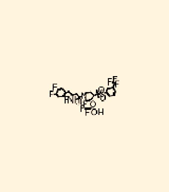 CC(C)(C1CCN(C(=O)C[C@H](N)Cc2cc(F)c(F)cc2F)CC1)S(=O)(=O)c1cccc(C(F)(F)F)c1.O=C(O)C(F)(F)F